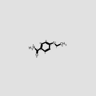 CCSc1ccc(C(N)=O)cc1